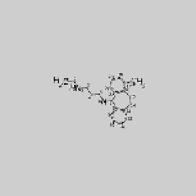 CCNCCCN=C1c2ccccc2CCc2c(C)cccc21